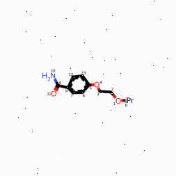 CC(C)OCCOc1ccc(C(N)=O)cc1